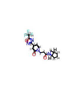 O=C(CCn1ccc(-c2noc(C(F)(F)F)n2)cc1=O)N1C[C@H]2CCC[C@H]21